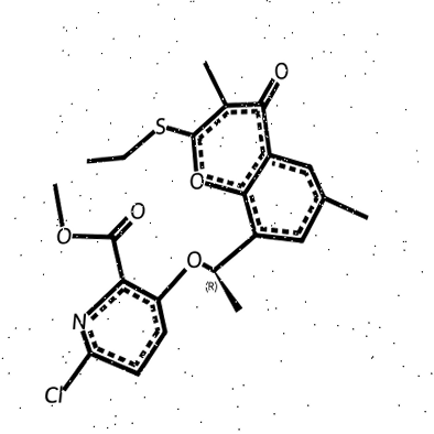 CCSc1oc2c([C@@H](C)Oc3ccc(Cl)nc3C(=O)OC)cc(C)cc2c(=O)c1C